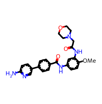 COc1ccc(NC(=O)c2ccc(-c3ccc(N)nc3)cc2)cc1NC(=O)CN1CCOCC1